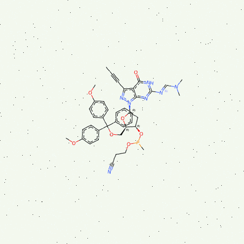 CC#Cc1nn([C@H]2C[C@@H](OP(C)OCCC#N)[C@@H](COC(c3ccccc3)(c3ccc(OC)cc3)c3ccc(OC)cc3)O2)c2nc(/N=C/N(C)C)[nH]c(=O)c12